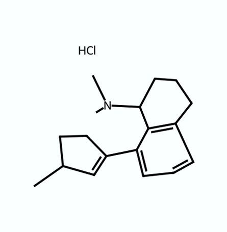 CC1C=C(c2cccc3c2C(N(C)C)CCC3)CC1.Cl